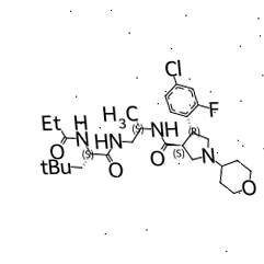 CCC(=O)N[C@@H](CC(C)(C)C)C(=O)NC[C@H](C)NC(=O)[C@@H]1CN(C2CCOCC2)C[C@H]1c1ccc(Cl)cc1F